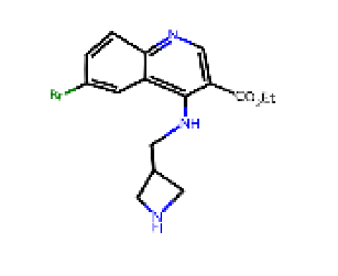 CCOC(=O)c1cnc2ccc(Br)cc2c1NCC1CNC1